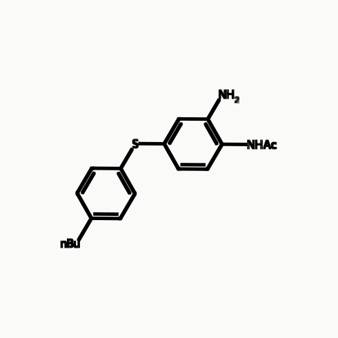 CCCCc1ccc(Sc2ccc(NC(C)=O)c(N)c2)cc1